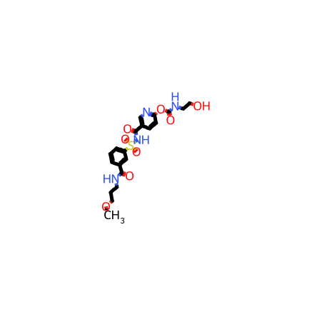 COCCCNC(=O)c1cccc(S(=O)(=O)NC(=O)c2ccc(OC(=O)NCCO)nc2)c1